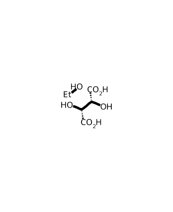 CCO.O=C(O)[C@H](O)[C@@H](O)C(=O)O